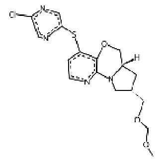 COCOC[C@H]1C[C@H]2COc3c(Sc4cnc(Cl)cn4)ccnc3N2C1